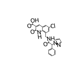 O=C(O)c1cc2cc(Cl)cc(CNC(=O)C(c3ccccc3)n3cccn3)c2[nH]c1=O